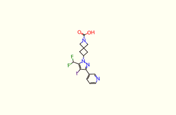 O=C(O)N1CC2(CC(n3nc(-c4cccnc4)c(I)c3C(F)F)C2)C1